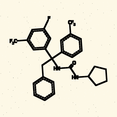 O=C(NC1CCCC1)NC(Cc1ccccc1)(c1cccc(C(F)(F)F)c1)c1cc(F)cc(C(F)(F)F)c1